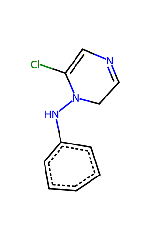 ClC1=CN=CCN1Nc1ccccc1